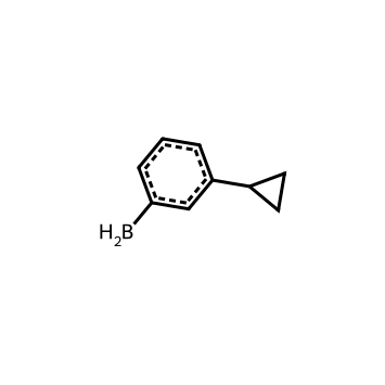 Bc1cccc(C2CC2)c1